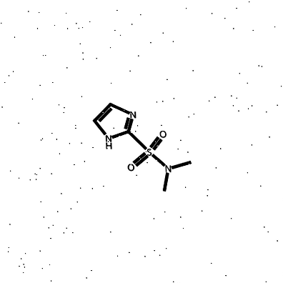 CN(C)S(=O)(=O)c1ncc[nH]1